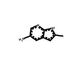 Nc1cnc2[nH]c(I)cc2c1